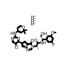 COc1cc(F)cc([C@@H](CO)NC(=O)[C@H](C)n2cnn3cc(-c4nc(NC5=CC(C)(C)OC=C5)ncc4Cl)cc3c2=O)c1.[H+].[H+].[H+].[H+]